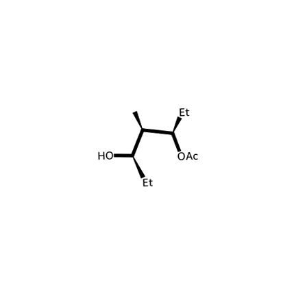 CC[C@@H](O)[C@@H](C)[C@@H](CC)OC(C)=O